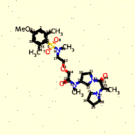 COc1cc(C)c(S(=O)(=O)N(C)CCOCC(=O)N(C)C2CCN(C(=O)C(C)N3CCCC3)C2)c(C)c1